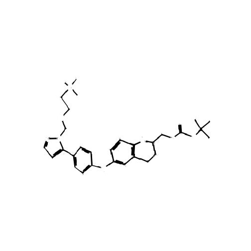 CC(C)(C)OC(=O)NCC1CCc2cc(Oc3ccc(-c4ccnn4COCC[Si](C)(C)C)cc3)ccc2O1